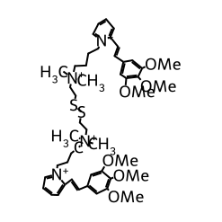 COc1cc(/C=C/c2cccc[n+]2CCCC[N+](C)(C)CCSSCC[N+](C)(C)CCCC[n+]2ccccc2/C=C/c2cc(OC)c(OC)c(OC)c2)cc(OC)c1OC